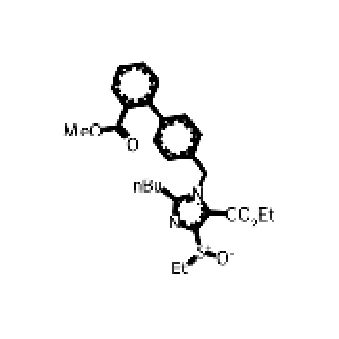 CCCCc1nc([S+]([O-])CC)c(C(=O)OCC)n1Cc1ccc(-c2ccccc2C(=O)OC)cc1